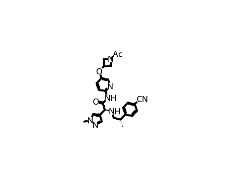 CC(=O)N1CC(Oc2ccc(NC(=O)[C@@H](NC[C@@H](C)c3ccc(C#N)cc3)c3cnn(C)c3)nc2)C1